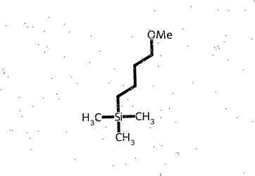 COCCCC[Si](C)(C)C